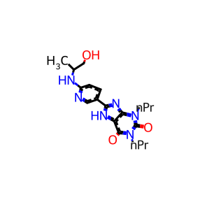 CCCn1c(=O)c2[nH]c(-c3ccc(NC(C)CO)nc3)nc2n(CCC)c1=O